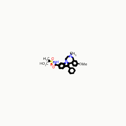 COc1ccc2c(c1)CN(C)CCn1c-2c(C2CCCCC2)c2ccc(C(=O)NS(=O)(=O)C(C)C(=O)O)cc21